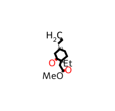 C=CC[C@@H]1CC[C@@](CC)(CC(=O)OC)C(=O)C1